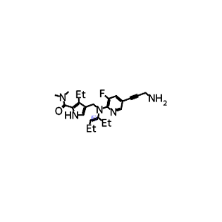 CC/C=C(\CC)N(Cc1c[nH]c(C(=O)N(C)C)c1CC)c1ncc(C#CCN)cc1F